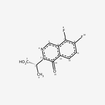 C[C@H](C(=O)O)n1ncc2c(F)c(F)ccc2c1=O